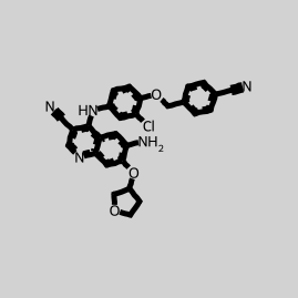 N#Cc1ccc(COc2ccc(Nc3c(C#N)cnc4cc(OC5CCOC5)c(N)cc34)cc2Cl)cc1